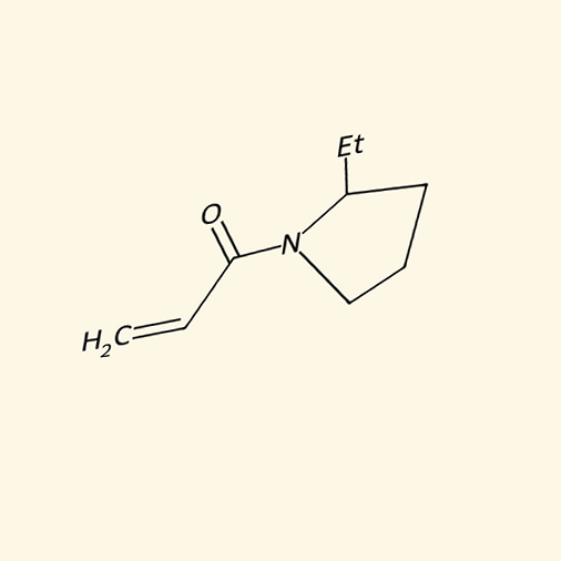 C=CC(=O)N1CCCC1CC